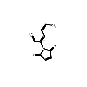 C=C/C(=C\C=C/C)N1C(=O)C=CC1=O